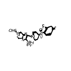 CC(C)Nc1nc2c(nc1N1CCC(S(=O)(=O)c3ccc(F)cc3F)CC1)CN(C=O)CC2